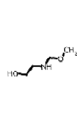 COCNCCO